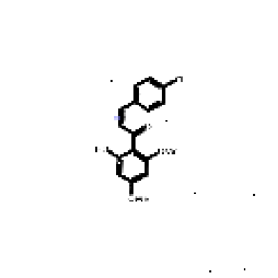 COc1cc(O)c(C(=O)/C=C\c2ccc(Cl)cc2)c(OC)c1